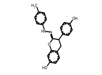 Cc1ccc(NN=C2Oc3cc(O)ccc3CC2c2ccc(O)cc2)cc1